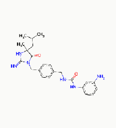 CC(C)CC1(C)NC(=N)N(Cc2ccc(CNC(=O)Nc3cccc(N)c3)cc2)C1=O